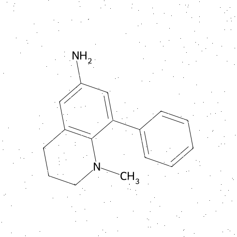 CN1CCCc2cc(N)cc(-c3ccccc3)c21